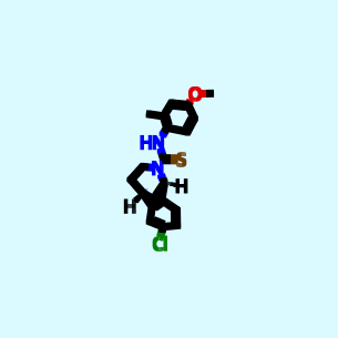 COc1ccc(NC(=S)N2CC[C@@H]3C[C@@H]2c2ccc(Cl)cc23)c(C)c1